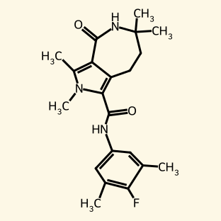 Cc1cc(NC(=O)c2c3c(c(C)n2C)C(=O)NC(C)(C)CC3)cc(C)c1F